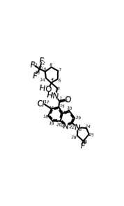 O=C(NCC1(O)CCCC(C(F)(F)F)C1)c1c(Cl)ccc2nc(N3CC[C@@H](F)C3)ccc12